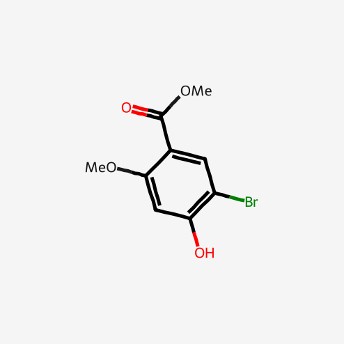 COC(=O)c1cc(Br)c(O)cc1OC